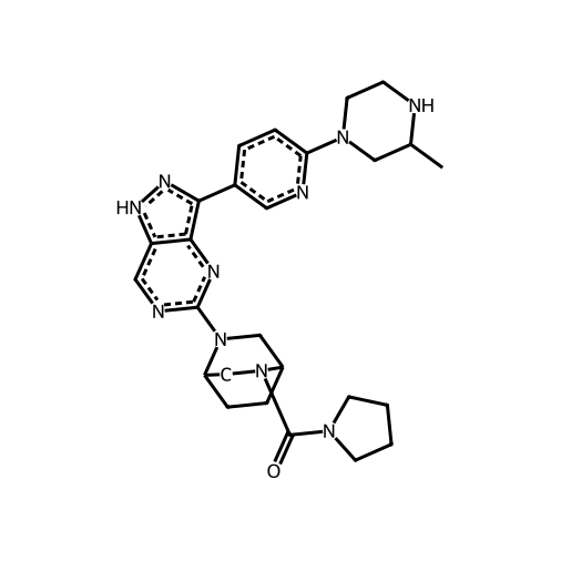 CC1CN(c2ccc(-c3n[nH]c4cnc(N5CC6CCC5CN6C(=O)N5CCCC5)nc34)cn2)CCN1